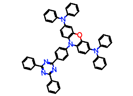 c1ccc(-c2nc(-c3ccccc3)nc(-c3ccc(N4c5ccc(N(c6ccccc6)c6ccccc6)cc5Oc5cc(N(c6ccccc6)c6ccccc6)ccc54)cc3)n2)cc1